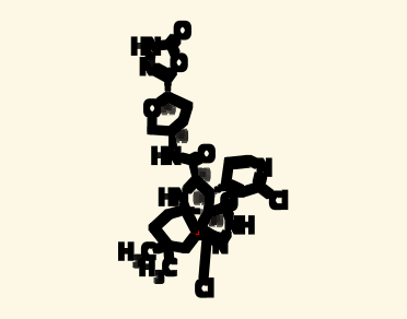 CC1(C)CCC2(CC1)N[C@@H](C(=O)N[C@@H]1CC[C@@H](c3n[nH]c(=O)o3)OC1)[C@H](c1ccnc(Cl)c1)[C@]21C(=O)Nc2nc(Cl)ccc21